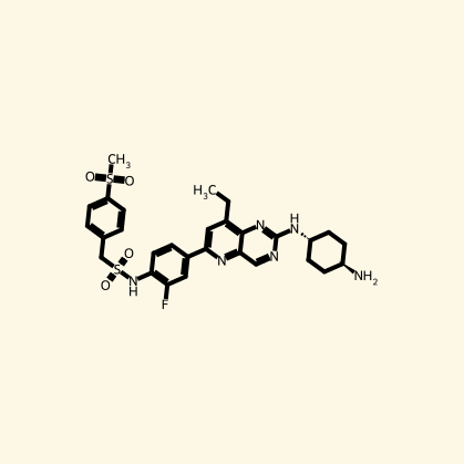 CCc1cc(-c2ccc(NS(=O)(=O)Cc3ccc(S(C)(=O)=O)cc3)c(F)c2)nc2cnc(N[C@H]3CC[C@H](N)CC3)nc12